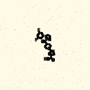 O=C(O)c1cnc(N2CCC(C(=O)N3N=CC[C@H]3c3cc(F)cc(F)c3)CC2)o1